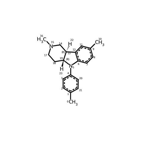 Cc1ccc(N2c3ccc(C)cc3[C@@H]3CN(C)CC[C@H]32)cc1